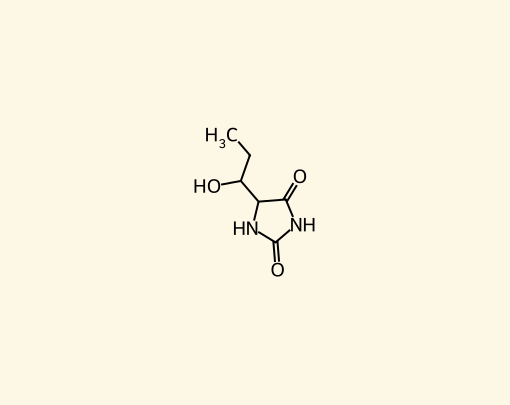 CCC(O)C1NC(=O)NC1=O